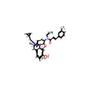 CC(C)CN(C(=O)/C=C/c1cccc(C(F)(F)F)c1)C1CC[C@@]2(O)[C@H]3Cc4ccc(O)c5c4[C@@]2(CCN3CC2CC2)C1O5